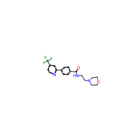 O=C(NCCN1CCOCC1)c1ccc(-c2cc(C(F)(F)F)ccn2)cc1